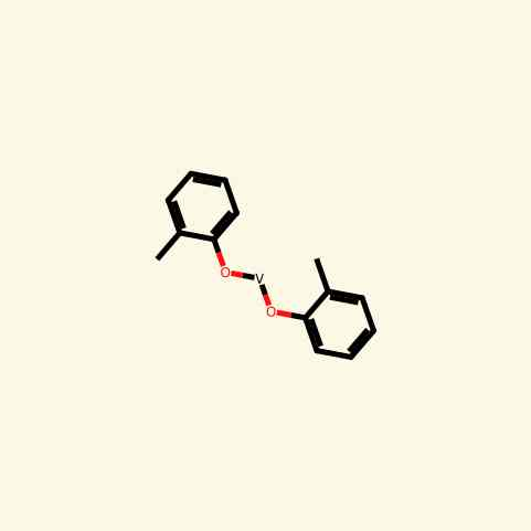 Cc1ccccc1[O][V][O]c1ccccc1C